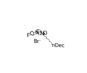 CCCCCCCCCCCCCCCCCC(=O)N1CCC[N+](C)(Cc2ccc(F)cc2)CC1.[Br-]